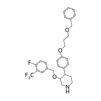 Fc1ccc(COC2CNCCC2c2ccc(OCCCOCc3ccccc3)cc2)cc1C(F)(F)F